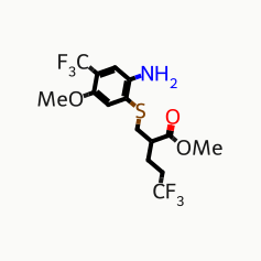 COC(=O)C(CCC(F)(F)F)CSc1cc(OC)c(C(F)(F)F)cc1N